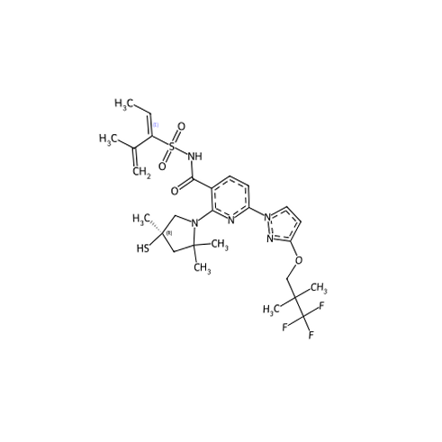 C=C(C)/C(=C\C)S(=O)(=O)NC(=O)c1ccc(-n2ccc(OCC(C)(C)C(F)(F)F)n2)nc1N1C[C@](C)(S)CC1(C)C